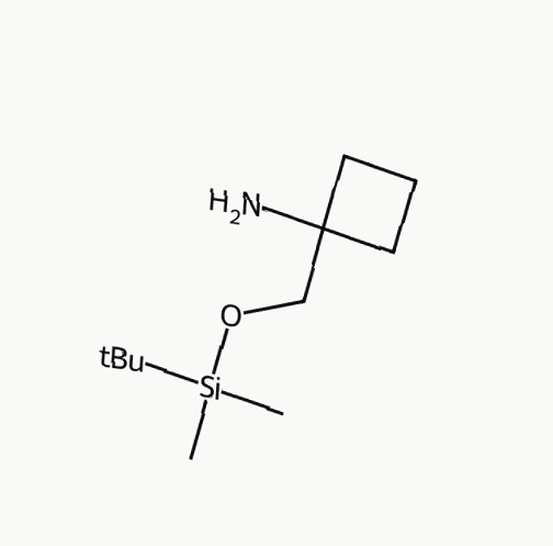 CC(C)(C)[Si](C)(C)OCC1(N)CCC1